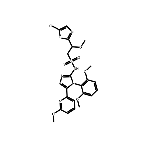 COc1cccc(-c2nnc(NS(=O)(=O)CC(OC)c3ncc(Cl)s3)n2-c2c(OC)cccc2OC)n1